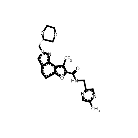 Cc1cnc(CNC(=O)c2oc3ccc4cn(C[C@H]5COCCO5)nc4c3c2C(F)(F)F)cn1